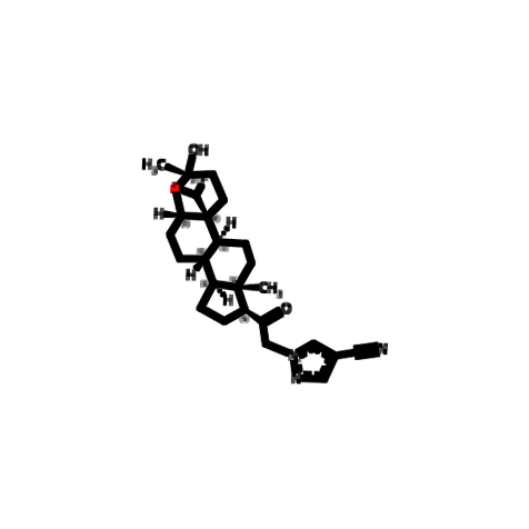 C[C@@]1(O)CC[C@@]2(C(F)F)[C@H](CC[C@H]3[C@@H]4CC[C@H](C(=O)Cn5cc(C#N)cn5)[C@@]4(C)CC[C@@H]32)C1